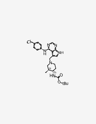 C[C@H]1CN(Cc2c[nH]c3ncnc(Nc4ccc(Cl)cc4)c23)CC[C@@H]1NC(=O)OC(C)(C)C